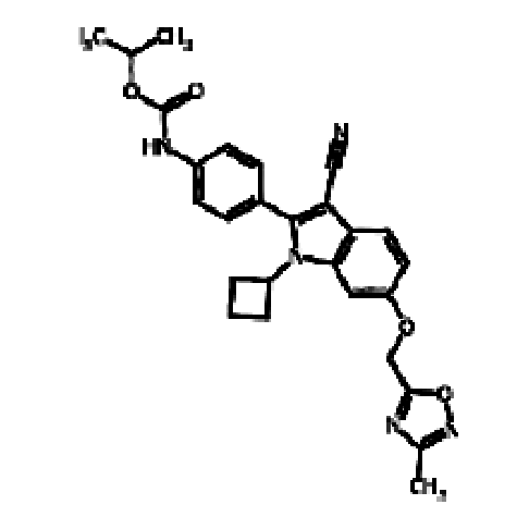 Cc1noc(COc2ccc3c(C#N)c(-c4ccc(NC(=O)OC(C)C)cc4)n(C4CCC4)c3c2)n1